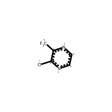 FC(F)(F)c1nccnc1Cl